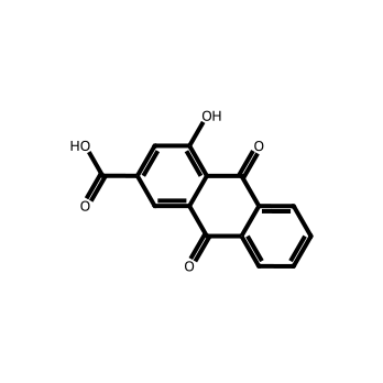 O=C(O)c1cc(O)c2c(c1)C(=O)c1ccccc1C2=O